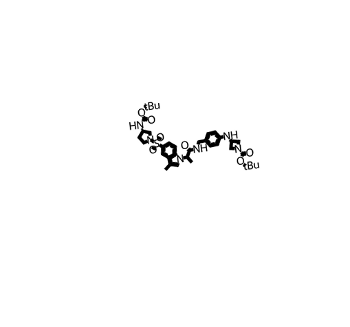 Cc1cn(C(C)C(=O)NCc2ccc(NC3CN(C(=O)OC(C)(C)C)C3)cc2)c2ccc(S(=O)(=O)N3CC[C@@H](NC(=O)OC(C)(C)C)C3)cc12